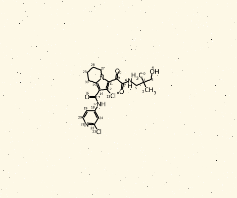 CC(C)(CO)CNC(=O)C(=O)c1c(Cl)c(C(=O)Nc2ccnc(Cl)c2)c2n1CCCC2